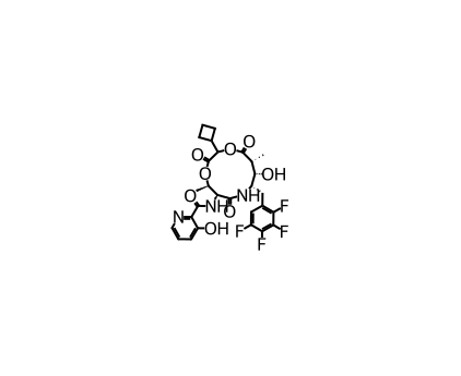 C[C@H]1OC(=O)C(C2CCC2)OC(=O)[C@H](C)[C@H](O)[C@H](Cc2cc(F)c(F)c(F)c2F)NC(=O)[C@H]1NC(=O)c1ncccc1O